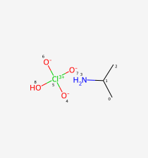 CC(C)N.[O-][Cl+3]([O-])([O-])O